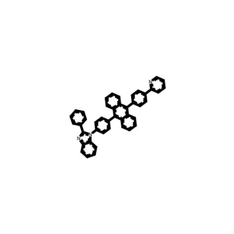 c1ccc(-c2nc3ccccc3n2-c2ccc(-c3c4ccccc4c(-c4ccc(-c5ccccn5)cc4)c4ccccc34)cc2)cc1